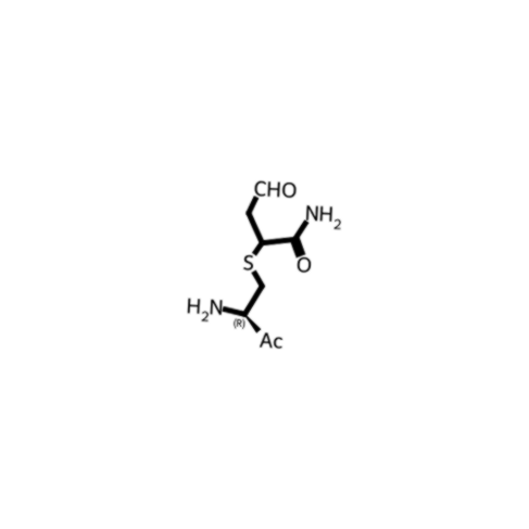 CC(=O)[C@@H](N)CSC(CC=O)C(N)=O